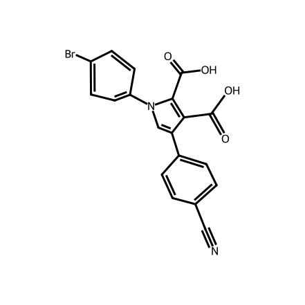 N#Cc1ccc(-c2cn(-c3ccc(Br)cc3)c(C(=O)O)c2C(=O)O)cc1